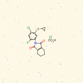 O=C(O)Cl.O=C1C2=C(CCCC2)C(=O)N1c1cc(SC2CC2)c(Cl)cc1F